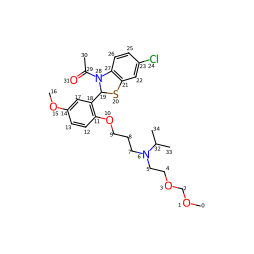 COCOCCN(CCCOc1ccc(OC)cc1C1Sc2cc(Cl)ccc2N1C(C)=O)C(C)C